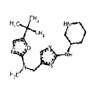 CN(Cc1cnc(N[C@@H]2CCCNC2)s1)c1ncc(C(C)(C)C)o1